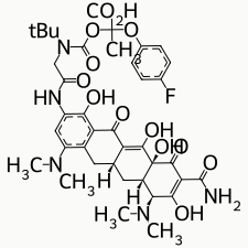 CN(C)c1cc(NC(=O)CN(C(=O)OC(C)(Oc2ccc(F)cc2)C(=O)O)C(C)(C)C)c(O)c2c1C[C@H]1C[C@H]3[C@H](N(C)C)C(O)=C(C(N)=O)C(=O)[C@@]3(O)C(O)=C1C2=O